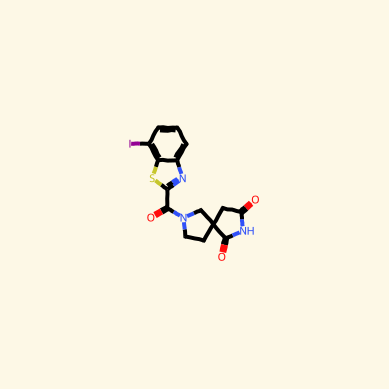 O=C1CC2(CCN(C(=O)c3nc4cccc(I)c4s3)C2)C(=O)N1